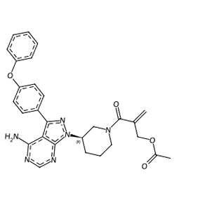 C=C(COC(C)=O)C(=O)N1CCC[C@@H](n2nc(-c3ccc(Oc4ccccc4)cc3)c3c(N)ncnc32)C1